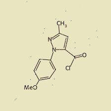 COc1ccc(-n2nc(C)cc2C(=O)Cl)cc1